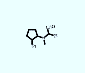 CCC(C=O)N(C)C1CCCC1C(C)C